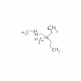 CCC[C@](C)(CC)CNCC